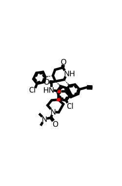 C#Cc1ccc(OC2CCN(C(=O)N(C)C)CC2)c([C@H]2NC(=O)C[C@@H](c3cccc(Cl)c3)[C@]23C(=O)Nc2cc(Cl)ccc23)c1